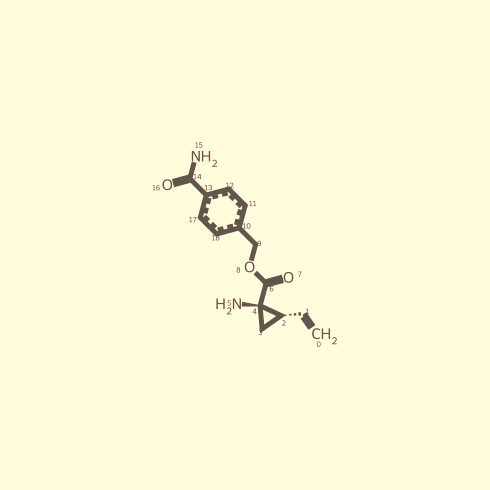 C=C[C@@H]1C[C@]1(N)C(=O)OCc1ccc(C(N)=O)cc1